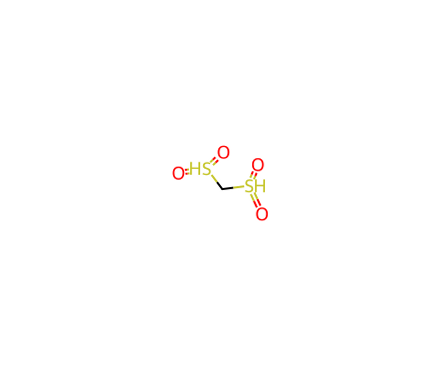 O=[SH](=O)C[SH](=O)=O